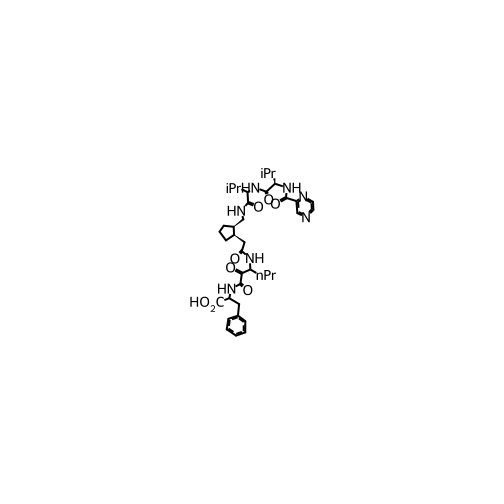 CCCC(NC(=O)C[C@H]1CCC[C@H]1CNC(=O)C(NC(=O)[C@H](NC(=O)c1cnccn1)C(C)C)C(C)C)C(=O)C(=O)NC(Cc1ccccc1)C(=O)O